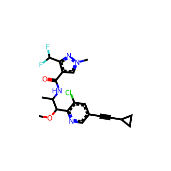 COC(c1ncc(C#CC2CC2)cc1Cl)C(C)NC(=O)c1cn(C)nc1C(F)F